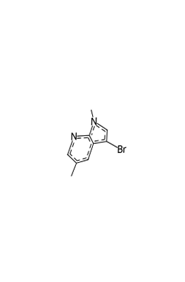 Cc1cnc2c(c1)c(Br)cn2C